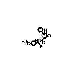 O=C(N[C@@H](c1ccc(OC(F)(F)F)cc1)C1CC1)c1cc(=O)[nH]c(-c2ccccc2)n1